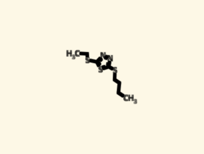 CCCCSc1nnc(SCC)s1